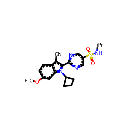 CC(C)NS(=O)(=O)c1cnc(-c2c(C#N)c3ccc(OC(F)(F)F)cc3n2C2CCC2)nc1